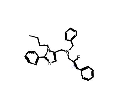 CCCCn1c(CN(C/C(F)=C/c2ccccc2)Cc2ccccc2)cnc1-c1ccccc1